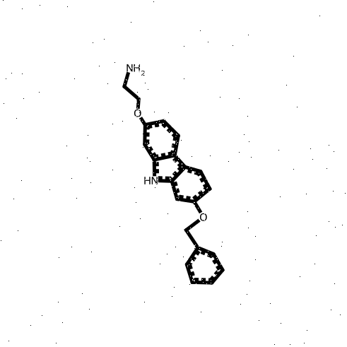 NCCOc1ccc2c(c1)[nH]c1cc(OCc3ccccc3)ccc12